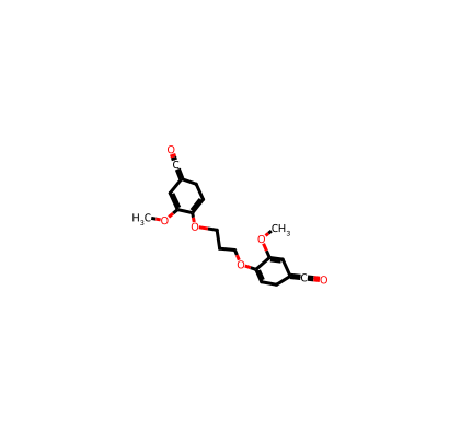 COC1=CC(=C=O)CC=C1OCCCOC1=CCC(=C=O)C=C1OC